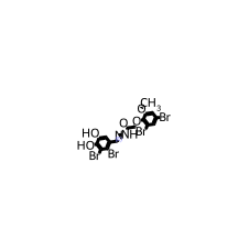 COc1cc(Br)cc(Br)c1OCC(=O)N/N=C/c1cc(O)c(O)c(Br)c1Br